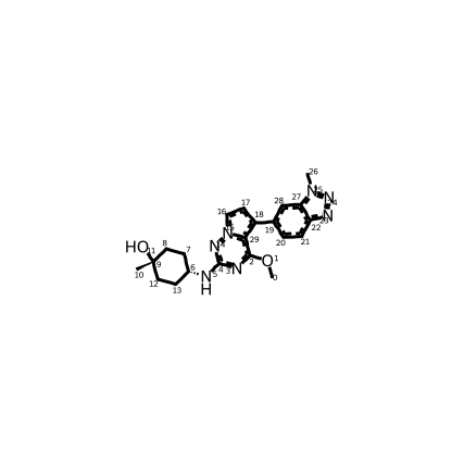 COc1nc(N[C@H]2CC[C@@](C)(O)CC2)nn2ccc(-c3ccc4nnn(C)c4c3)c12